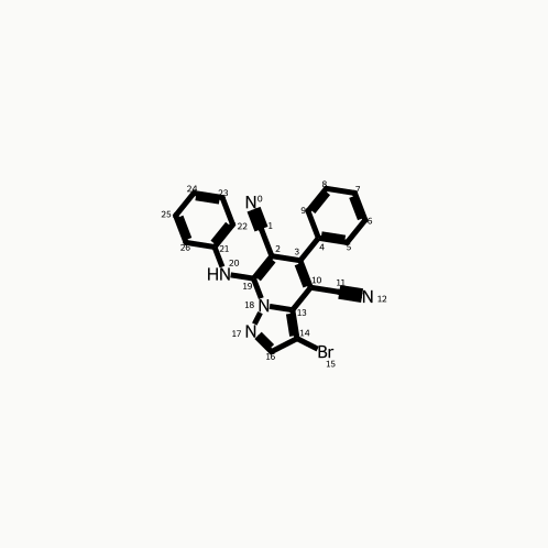 N#Cc1c(-c2ccccc2)c(C#N)c2c(Br)cnn2c1Nc1ccccc1